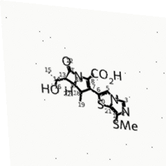 CSc1ncn2cc(C3=C(C(=O)O)N4C(=O)[C@H]([C@@H](C)O)[C@@H]4C3C)sc12